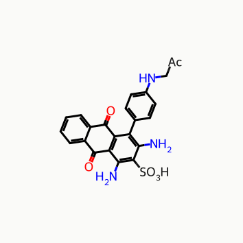 CC(=O)CNc1ccc(-c2c(N)c(S(=O)(=O)O)c(N)c3c2C(=O)c2ccccc2C3=O)cc1